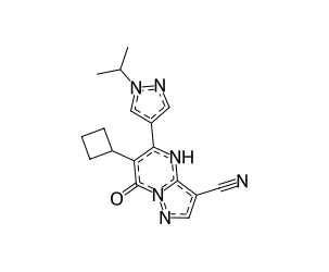 CC(C)n1cc(-c2[nH]c3c(C#N)cnn3c(=O)c2C2CCC2)cn1